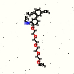 CNc1cc(-c2cc(C)ccc2C)ccc1OCCOCCOCCOCCOC